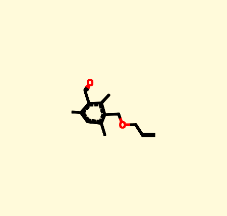 C=CCOCc1c(C)cc(C)c(C=O)c1C